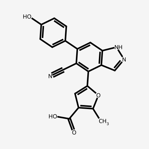 Cc1oc(-c2c(C#N)c(-c3ccc(O)cc3)cc3[nH]ncc23)cc1C(=O)O